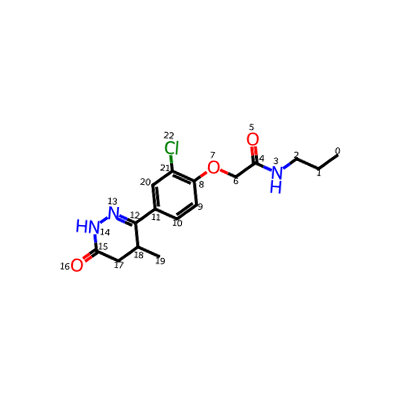 CCCNC(=O)COc1ccc(C2=NNC(=O)CC2C)cc1Cl